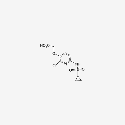 O=C(O)COc1ccc(NS(=O)(=O)C2CC2)nc1Cl